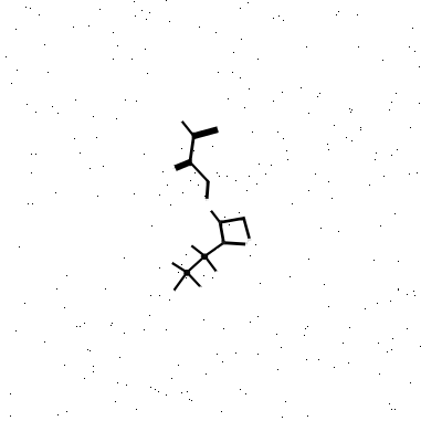 C=C(C)C(=O)COC1COC1C(F)(F)C(F)(F)F